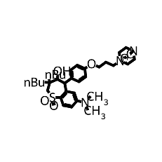 CCCCC1(CCCC)CS(=O)(=O)c2ccc(N(C)C)cc2C(c2ccc(OCCC[N+]34CCN(CC3)CC4)cc2)C1O